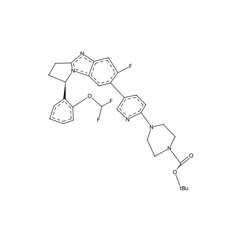 CC(C)(C)OC(=O)N1CCN(c2ccc(-c3cc4c(cc3F)nc3n4[C@@H](c4ccccc4OC(F)F)CC3)cn2)CC1